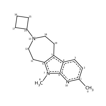 Cc1ccc2c3c(n(C)c2n1)CCN(C1CCC1)CC3